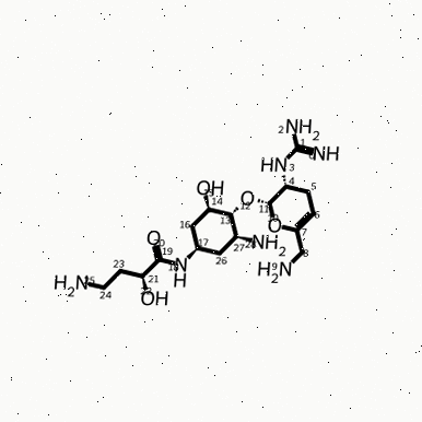 N=C(N)N[C@@H]1CC=C(CN)O[C@@H]1O[C@H]1[C@H](O)C[C@H](NC(=O)[C@@H](O)CCN)C[C@@H]1N